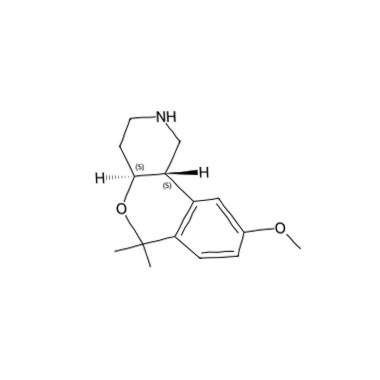 COc1ccc2c(c1)[C@H]1CNCC[C@@H]1OC2(C)C